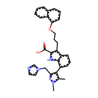 Cc1c(-c2cccc3c(CCCOc4cccc5ccccc45)c(C(=O)O)[nH]c23)c(Cn2ccnc2)nn1C